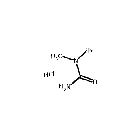 CC(C)N(C)C(N)=O.Cl